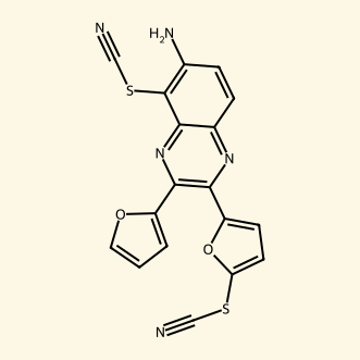 N#CSc1ccc(-c2nc3ccc(N)c(SC#N)c3nc2-c2ccco2)o1